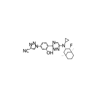 C[C@@]12CCC[C@@](C)(C1)[C@@H](F)[C@@H](N(c1cnc(-c3ccc(-n4cc(C#N)nn4)cc3O)nn1)C1CC1)C2